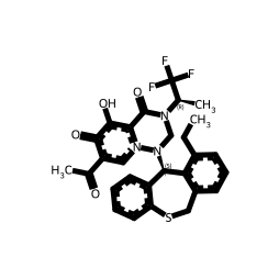 CCc1cccc2c1[C@H](N1CN([C@H](C)C(F)(F)F)C(=O)c3c(O)c(=O)c(C(C)=O)cn31)c1ccccc1SC2